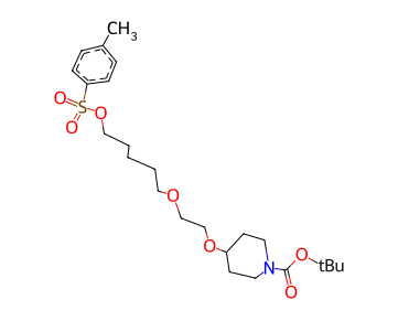 Cc1ccc(S(=O)(=O)OCCCCCOCCOC2CCN(C(=O)OC(C)(C)C)CC2)cc1